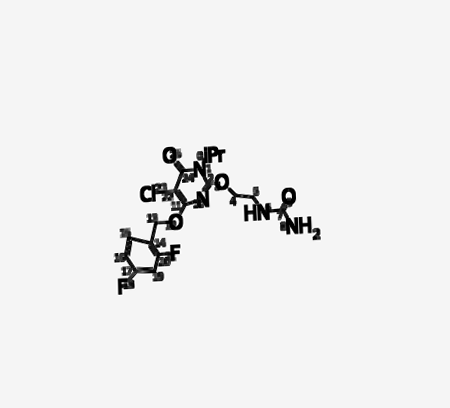 CC(C)n1c(OCCNC(N)=O)nc(OCc2ccc(F)cc2F)c(Cl)c1=O